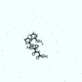 NC1=NCCS1.NC1=NCCS1.O=C(O)CC(=O)C(=O)O